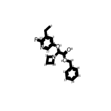 CCc1cc(OC(C(=O)OCc2ccccc2)N2CCC2)cnc1F